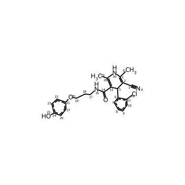 CC1=C(C#N)C(c2ccccc2Cl)C(C(=O)NCCCOc2ccc(O)cc2)=C(C)N1